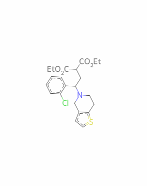 CCOC(=O)C(CC(c1ccccc1Cl)N1CCc2sccc2C1)C(=O)OCC